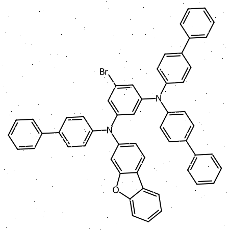 Brc1cc(N(c2ccc(-c3ccccc3)cc2)c2ccc(-c3ccccc3)cc2)cc(N(c2ccc(-c3ccccc3)cc2)c2ccc3c(c2)oc2ccccc23)c1